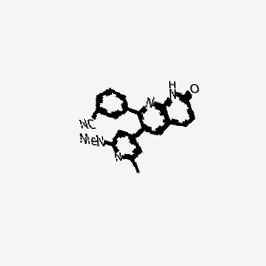 CNc1cc(-c2cc3ccc(=O)[nH]c3nc2-c2cccc(C#N)c2)cc(C)n1